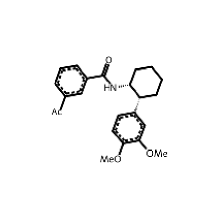 COc1ccc([C@H]2CCCC[C@H]2NC(=O)c2cccc(C(C)=O)c2)cc1OC